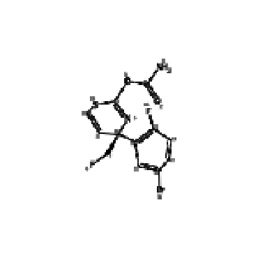 NC(=O)OC1=N[C@](CF)(c2cc(Br)ccc2F)C=CS1